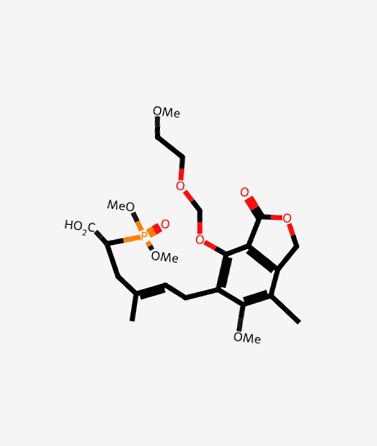 COCCOCOc1c(C/C=C(\C)CC(C(=O)O)P(=O)(OC)OC)c(OC)c(C)c2c1C(=O)OC2